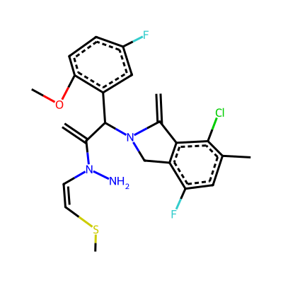 C=C(C(c1cc(F)ccc1OC)N1Cc2c(F)cc(C)c(Cl)c2C1=C)N(N)/C=C\SC